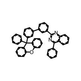 c1ccc(-c2nc(-c3cccc(-c4cccc(C5(c6ccccc6)c6ccccc6Oc6ccccc65)c4)c3)nc3ccccc23)cc1